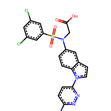 CNc1ccc(-n2ccc3cc(N(CC(=O)O)S(=O)(=O)c4cc(Cl)cc(Cl)c4)ccc32)nn1